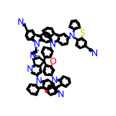 N#Cc1ccc2c(c1)Sc1ccccc1N2c1ccc2c(c1)c1ccccc1n2-c1ccc2c(c1)Oc1cc(-n3c4ccccc4c4ccccc43)ccc1C21c2cc(-n3c4ccccc4c4cc(C#N)ccc43)cnc2-c2ncc(-n3c4ccccc4c4cc(C#N)ccc43)cc21